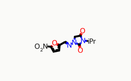 CC(C)N1C(=O)CN(N=Cc2ccc([N+](=O)[O-])o2)C1=O